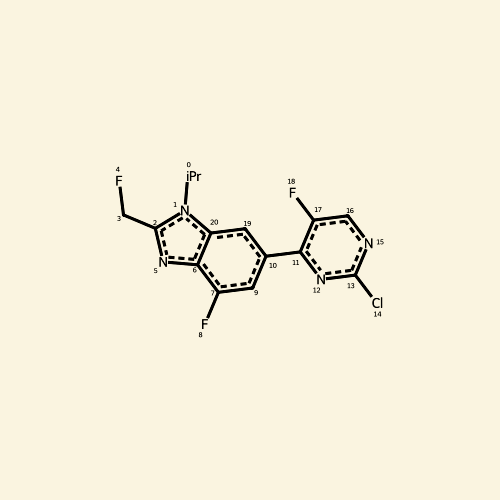 CC(C)n1c(CF)nc2c(F)cc(-c3nc(Cl)ncc3F)cc21